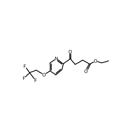 CCOC(=O)CCC(=O)c1ccc(OCC(F)(F)F)cn1